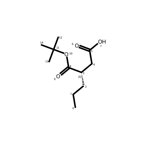 CCC[C@@H](CC(=O)O)C(=O)OC(C)(C)C